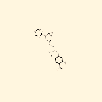 CN(C)[C@H](CNC(=O)CC(c1ncccn1)C1(C(F)(F)F)CC1)Cc1ccc(C(N)=O)c(F)c1